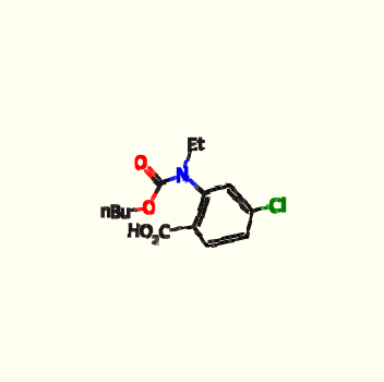 CCCCOC(=O)N(CC)c1cc(Cl)ccc1C(=O)O